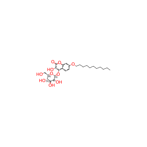 CCCCCCCCCCCOc1ccc2c(O[C@@H]3O[C@H](CO)[C@@H](O)[C@H](O)[C@H]3O)c(O)c(=O)oc2c1